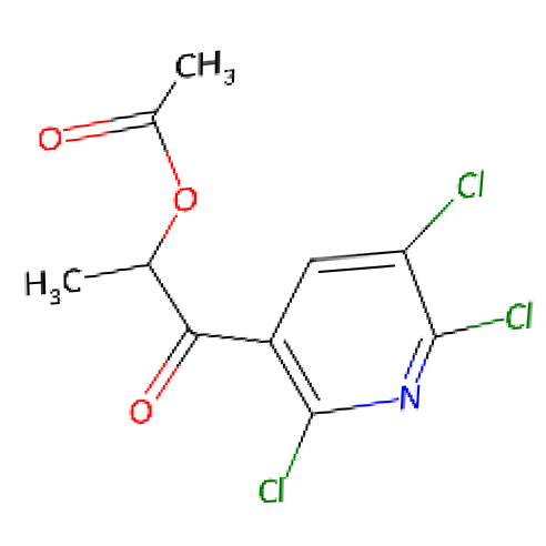 CC(=O)OC(C)C(=O)c1cc(Cl)c(Cl)nc1Cl